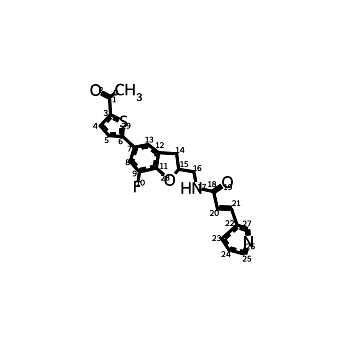 CC(=O)c1ccc(-c2cc(F)c3c(c2)CC(CNC(=O)/C=C/c2cccnc2)O3)s1